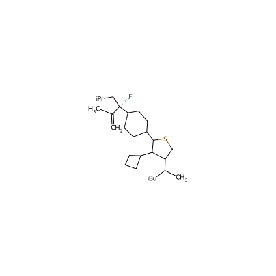 C=C(C)[C@@](F)(CC(C)C)C1CCC(C2SCC(C(C)C(C)CC)C2C2CCC2)CC1